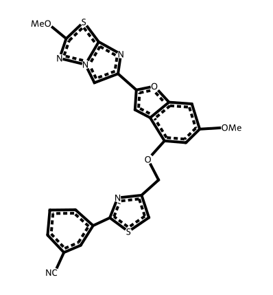 COc1cc(OCc2csc(-c3cccc(C#N)c3)n2)c2cc(-c3cn4nc(OC)sc4n3)oc2c1